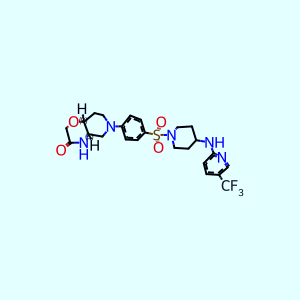 O=C1CO[C@@H]2CCN(c3ccc(S(=O)(=O)N4CCC(Nc5ccc(C(F)(F)F)cn5)CC4)cc3)C[C@@H]2N1